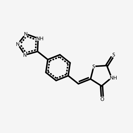 O=C1NC(=S)S/C1=C\c1ccc(-c2nnn[nH]2)cc1